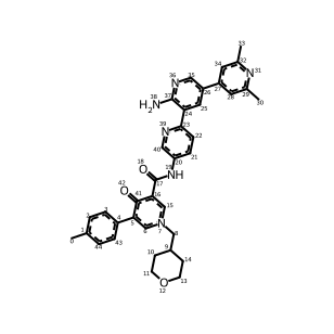 Cc1ccc(-c2cn(CC3CCOCC3)cc(C(=O)Nc3ccc(-c4cc(-c5cc(C)nc(C)c5)cnc4N)nc3)c2=O)cc1